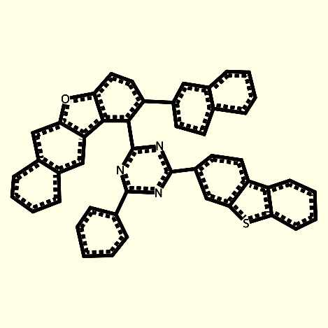 c1ccc(-c2nc(-c3ccc4c(c3)sc3ccccc34)nc(-c3c(-c4ccc5ccccc5c4)ccc4oc5cc6ccccc6cc5c34)n2)cc1